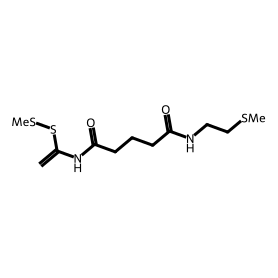 C=C(NC(=O)CCCC(=O)NCCSC)SSC